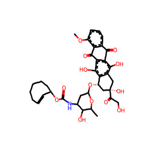 COc1cccc2c1C(=O)c1c(O)c3c(c(O)c1C2=O)C[C@@](O)(C(=O)CO)C[C@@H]3OC1CC(NC(=O)OC2/C=C/CCCCC2)C(O)C(C)O1